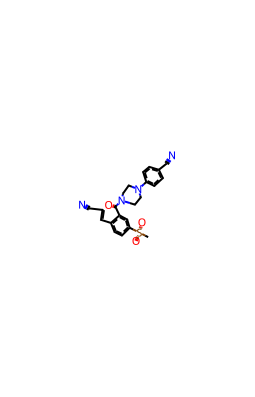 CS(=O)(=O)c1ccc(C=CC#N)c(C(=O)N2CCN(c3ccc(C#N)cc3)CC2)c1